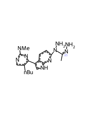 CCCCc1cnc(NC)nc1-c1c[nH]c2nc(N(N)/C(C)=N\N)ccc12